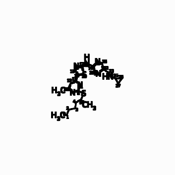 CCCCCC(C)Sc1nc(C)cc(-c2cnc(Nc3cnc(CNC4CC4)cn3)s2)n1